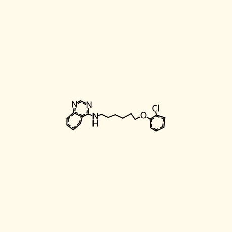 Clc1ccccc1OCCCCCCNc1ncnc2ccccc12